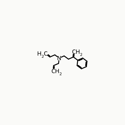 C=CCN(CC=C)CCC(=C)c1ccccc1